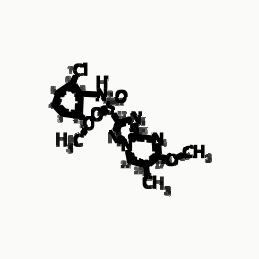 COc1cccc(Cl)c1NS(=O)(=O)c1nc2nc(OC)c(C)cn2n1